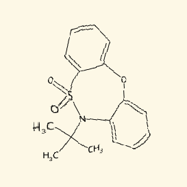 CC(C)(C)N1c2ccccc2Oc2ccccc2S1(=O)=O